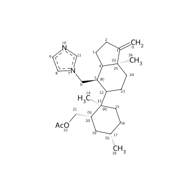 C=C1CCC2[C@H](Cn3ccnc3)C([C@@]3(C)CC[C@H](C)C[C@@H]3COC(C)=O)CC[C@]12C